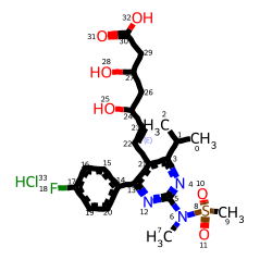 CC(C)c1nc(N(C)S(C)(=O)=O)nc(-c2ccc(F)cc2)c1/C=C/C(O)CC(O)CC(=O)O.Cl